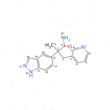 CC(Cc1cccnc1)(C(N)=O)c1ccc2[nH]ncc2c1